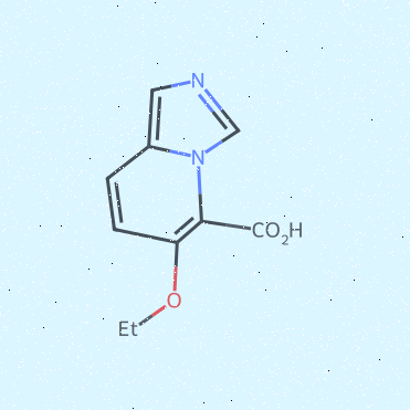 CCOc1ccc2cncn2c1C(=O)O